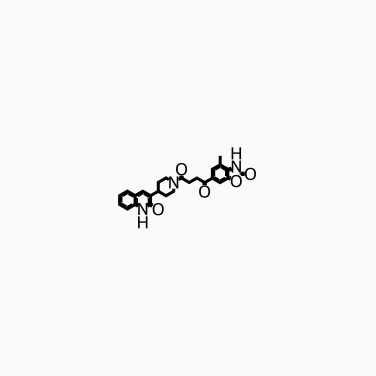 Cc1cc(C(=O)CCC(=O)N2CCC(c3cc4ccccc4[nH]c3=O)CC2)cc2oc(=O)[nH]c12